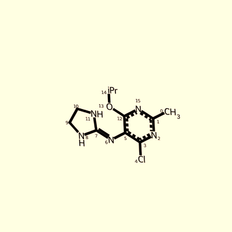 Cc1nc(Cl)c(N=C2NCCN2)c(OC(C)C)n1